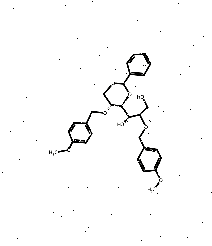 COc1ccc(CO[C@H](CO)[C@@H](O)[C@@H]2OC(c3ccccc3)OC[C@H]2OCc2ccc(OC)cc2)cc1